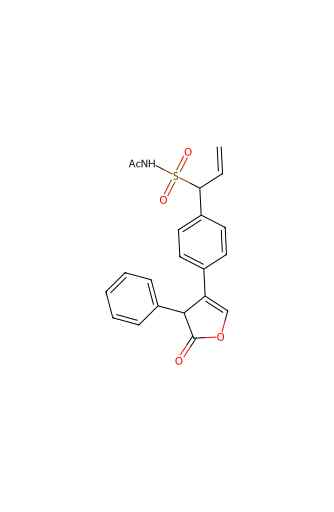 C=CC(c1ccc(C2=COC(=O)C2c2ccccc2)cc1)S(=O)(=O)NC(C)=O